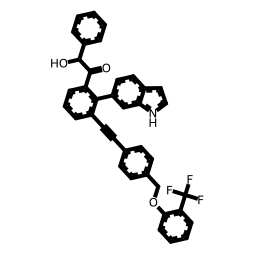 O=C(c1cccc(C#Cc2ccc(COc3ccccc3C(F)(F)F)cc2)c1-c1ccc2cc[nH]c2c1)C(O)c1ccccc1